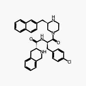 O=C(N[C@H](Cc1ccc(Cl)cc1)C(=O)N1CCN[C@H](Cc2ccc3ccccc3c2)C1)[C@H]1Cc2ccccc2CN1